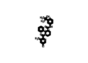 Cc1cc(Cl)cnc1C(=O)N1CCC[C@H](C(=O)Nc2cccc(C(C)(C)C)c2)[C@@H]1c1ccccc1